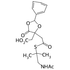 CC(=O)NCC(C)(C)SC(=O)CC1(CC(=O)O)OC(c2ccccc2)OC1=O